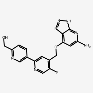 Nc1cc(OCc2cc(-c3ccc(CO)nc3)ncc2F)c2nn[nH]c2n1